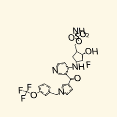 NS(=O)(=O)OCC1C[C@@H](Nc2ccncc2C(=O)c2ccn(Cc3cccc(OC(F)(F)F)c3)c2)[C@@H](F)[C@@H]1O